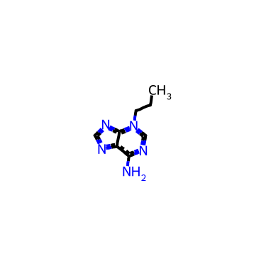 CCCn1cnc(N)c2ncnc1-2